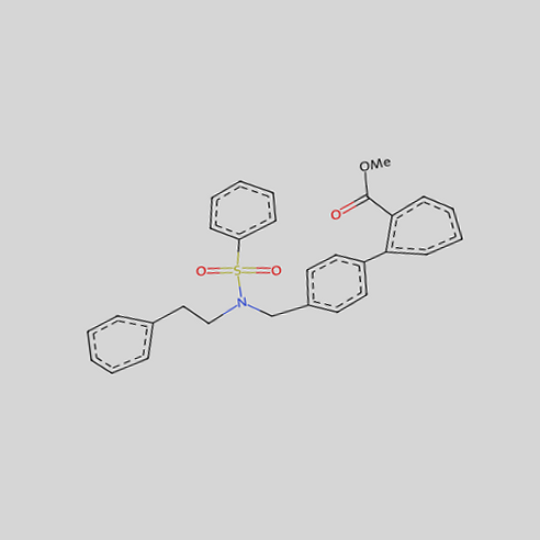 COC(=O)c1ccccc1-c1ccc(CN(CCc2ccccc2)S(=O)(=O)c2ccccc2)cc1